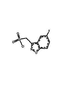 O=S(=O)(Cl)Cc1noc2ccc(F)cc12